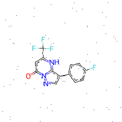 O=c1cc(C(F)(F)F)[nH]c2c(-c3ccc(F)cc3)cnn12